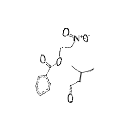 CC(C)CC=O.O=C(OCC[N+](=O)[O-])c1ccccc1